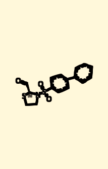 O=C[C@@H]1SCCN1S(=O)(=O)c1ccc(-c2ccccc2)cc1